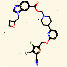 Cc1c(C#N)sc(COc2cccc(C3CCN(COC(=O)c4ccc5ncn(CC6CCO6)c5c4)CC3)n2)c1F